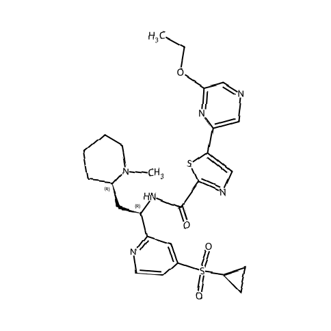 CCOc1cncc(-c2cnc(C(=O)N[C@H](C[C@H]3CCCCN3C)c3cc(S(=O)(=O)C4CC4)ccn3)s2)n1